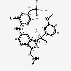 CNCc1cn(S(=O)(=O)c2cccc(OC)c2)c2cc(Nc3ccc(OC(F)(F)F)cc3Cl)ccc12